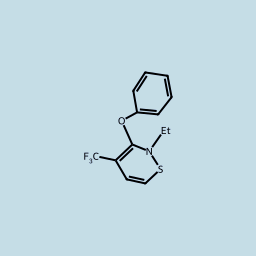 CCN1SC=CC(C(F)(F)F)=C1Oc1ccccc1